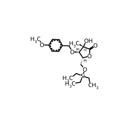 CC[Si](CC)(CC)OC[C@H]1OC(=O)[C@@](C)(O)[C@@H]1OCc1ccc(OC)cc1